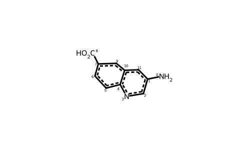 Nc1cnc2ccc(C(=O)O)cc2c1